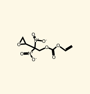 C=COC(=O)OCC(C1CO1)([N+](=O)[O-])[N+](=O)[O-]